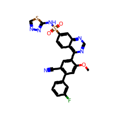 COc1cc(-c2cccc(F)c2)c(C#N)cc1-c1ncnc2cc(S(=O)(=O)Nc3nncs3)ccc12